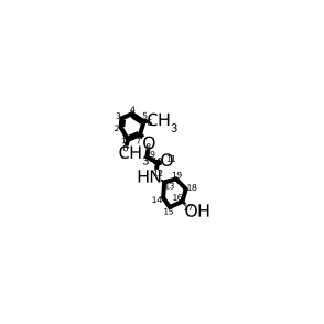 Cc1cccc(C)c1OCC(=O)N[C@H]1CC[C@H](O)CC1